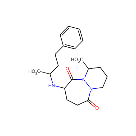 O=C(O)C(CCc1ccccc1)NC1CCC(=O)N2CCCC(C(=O)O)N2C1=O